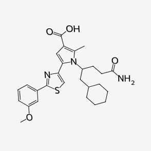 COc1cccc(-c2nc(-c3cc(C(=O)O)c(C)n3C(CCC(N)=O)CC3CCCCC3)cs2)c1